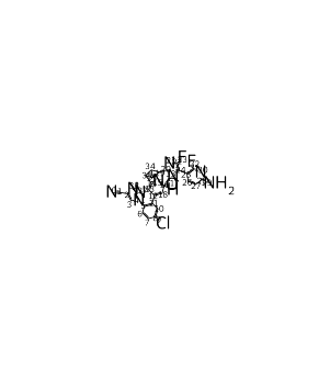 N#Cc1cn(-c2ccc(Cl)cc2-c2cc3n(c(=O)c2)C2(c4nc(F)c(-c5ccc(N)nc5F)[nH]4)C4C3C42)nn1